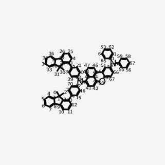 CC1(C)c2ccccc2-c2cccc(-c3ccc(N(c4ccc(-c5cccc6c5C(C)(C)c5ccccc5-6)cc4)c4ccc5c6c(cccc46)-c4cc(N(c6ccccc6)c6ccccc6)ccc4O5)cc3)c21